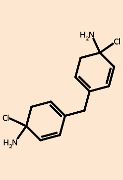 NC1(Cl)C=CC(CC2=CCC(N)(Cl)C=C2)=CC1